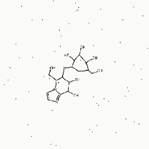 OCC1CC(OC2C(O)C(O)c3nccn3C2CO)C(O)C(O)C1O